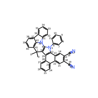 CC1(C)c2c(n(-c3ccccc3)c3c4cc(C#N)c(C#N)cc4c4ccccc4c23)-n2c3ccccc3c3cccc1c32